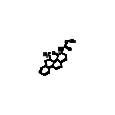 CC1C=c2ccccc2=c2ccc3c(c21)C(=O)[C@@H](NC(=O)OC(C)(C)C)CC=3